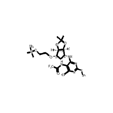 CCCSc1nc(Cl)c(NC(=O)C(F)(F)F)c(N[C@@H]2C[C@H](OCCO[Si](C)(C)C(C)(C)C)[C@H]3OC(C)(C)O[C@H]32)n1